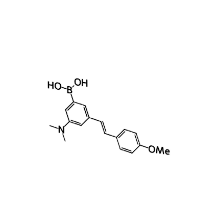 COc1ccc(/C=C/c2cc(B(O)O)cc(N(C)C)c2)cc1